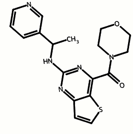 CC(Nc1nc(C(=O)N2CCOCC2)c2sccc2n1)c1cccnc1